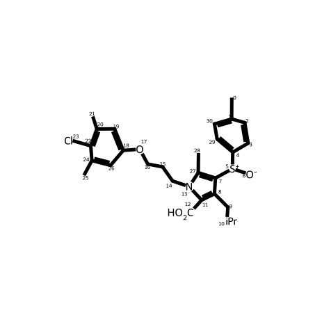 Cc1ccc([S+]([O-])c2c(CC(C)C)c(C(=O)O)n(CCCOc3cc(C)c(Cl)c(C)c3)c2C)cc1